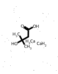 CC(C)(O)CC(=O)O.[CaH2].[CaH2]